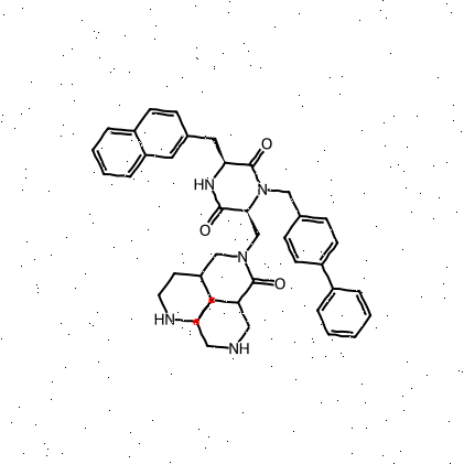 O=C1N[C@@H](Cc2ccc3ccccc3c2)C(=O)N(Cc2ccc(-c3ccccc3)cc2)[C@H]1CN(CC1CCNCC1)C(=O)C1CCCNC1